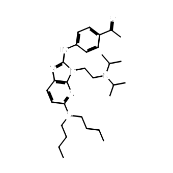 CCCCN(CCCC)c1ccc2nc(Nc3ccc(C(C)=O)cc3)n(CCN(C(C)C)C(C)C)c2n1